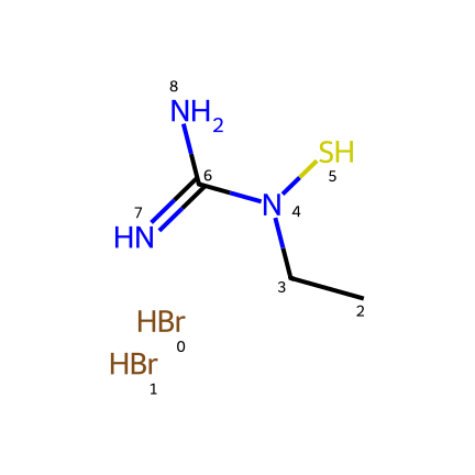 Br.Br.CCN(S)C(=N)N